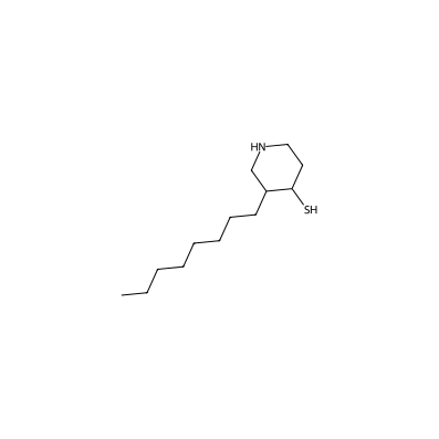 CCCCCCCCC1CNCCC1S